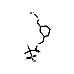 COCC1CCCC(COC(=O)C(F)(F)S(=O)(=O)O)C1